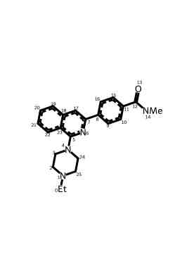 CCN1CCN(c2nc(-c3ccc(C(=O)NC)cc3)cc3ccccc23)CC1